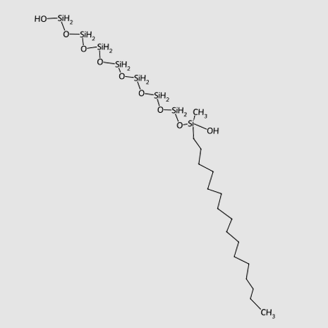 CCCCCCCCCCCCCCCC[Si](C)(O)O[SiH2]O[SiH2]O[SiH2]O[SiH2]O[SiH2]O[SiH2]O[SiH2]O